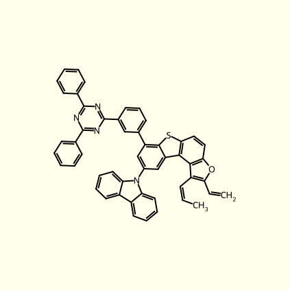 C=Cc1oc2ccc3sc4c(-c5cccc(-c6nc(-c7ccccc7)nc(-c7ccccc7)n6)c5)cc(-n5c6ccccc6c6ccccc65)cc4c3c2c1/C=C\C